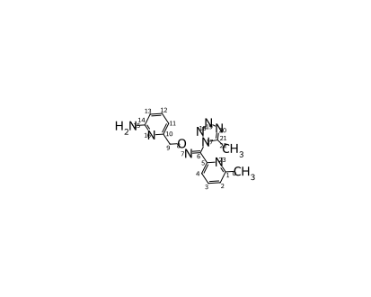 Cc1cccc(C(=NOCc2cccc(N)n2)n2nnnc2C)n1